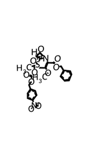 COC1=C(C(=O)OCc2ccccc2)N2C(=O)[C@@H]3O[S@@](C(C)OC(=O)OCc4ccc([N+](=O)[O-])cc4)(C1)[C@@H]32